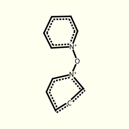 c1cc[n+](O[n+]2ccccc2)cc1